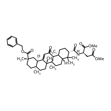 COC(=O)C[C@@H](NC(=O)[C@H]1CC[C@]2(C)C3C(=O)C=C4[C@@H]5C[C@@](C)(C(=O)OCc6ccccc6)CC[C@]5(C)CC[C@@]4(C)[C@]3(C)CC[C@H]2C1(C)C)C(=O)OC